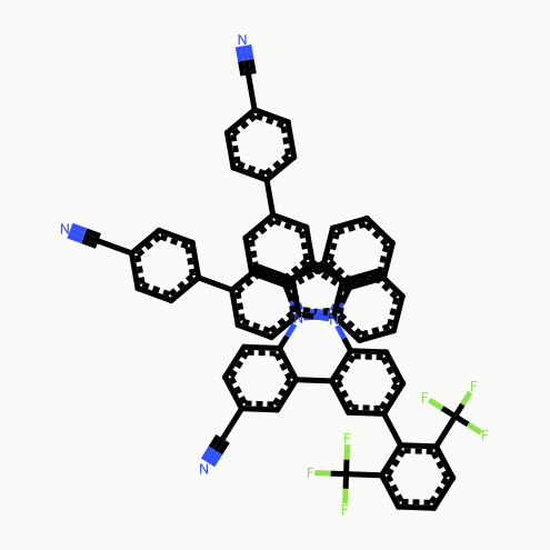 N#Cc1ccc(-c2ccc3c(c2)c2ccccc2n3-c2ccc(C#N)cc2-c2cc(-c3c(C(F)(F)F)cccc3C(F)(F)F)ccc2-n2c3ccccc3c3cc(-c4ccc(C#N)cc4)ccc32)cc1